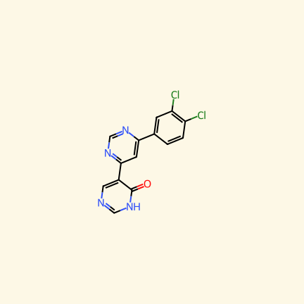 O=c1[nH]cncc1-c1cc(-c2ccc(Cl)c(Cl)c2)ncn1